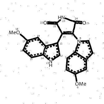 COc1ccc2c(ccn2C2=C(c3c[nH]c4ccc(OC)cc34)C(=O)NC2=O)c1